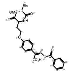 COC(=O)C(CCOc1ccc(C(=NOC(=O)c2ccccc2)C(=O)O)cc1)NC(=O)OC(C)(C)C